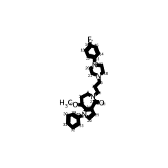 COC1CCN(CCCN2CCN(c3ccc(F)cc3)CC2)C(=O)c2ccn(-c3ccccc3)c21